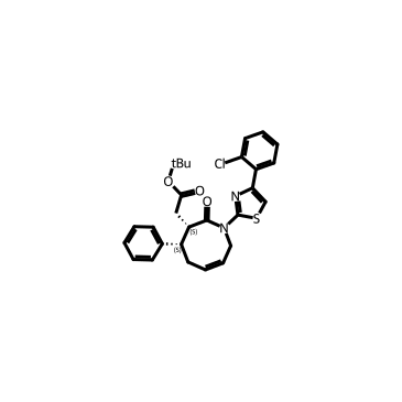 CC(C)(C)OC(=O)C[C@@H]1C(=O)N(c2nc(-c3ccccc3Cl)cs2)CC=CC[C@@H]1c1ccccc1